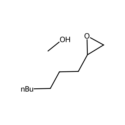 CCCCCCCC1CO1.CO